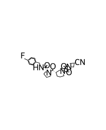 N#CC1CN(S(=O)(=O)N2CCC[C@H](C(=O)N3CCC[C@@H]3C(=O)NCc3ccc(CF)cc3)C2)C1